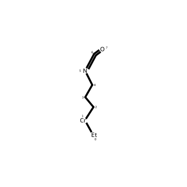 C[CH2][Cr][CH2]CCN=C=O